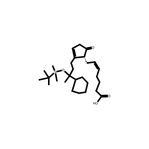 CC(CCC1=CCC(=O)[C@@H]1C/C=C\CCCC(=O)O)(O[Si](C)(C)C(C)(C)C)C1CCCCC1